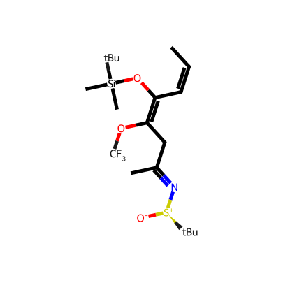 C/C=C\C(O[Si](C)(C)C(C)(C)C)=C(/C/C(C)=N/[S@+]([O-])C(C)(C)C)OC(F)(F)F